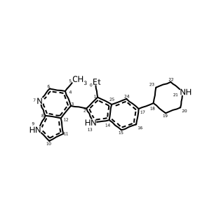 CCc1c(-c2c(C)cnc3[nH]ccc23)[nH]c2ccc(C3CCNCC3)cc12